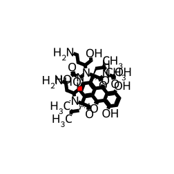 CC(C)C[C@]([C]=O)([N]C(CO)CCN)c1ccc([C@@](CC(C)C)(C(=O)NC(=O)O)N(NC(=O)O)C(CO)CCN)c2c1C(=O)c1c(O)ccc(O)c1C2=O